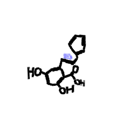 O=C(O)c1c(O)cc(O)cc1/C=C/c1ccccc1